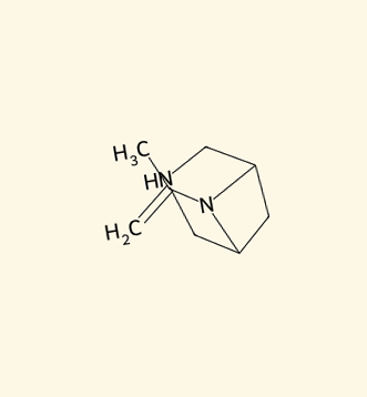 C=C(C)N1C2CNCC1C2